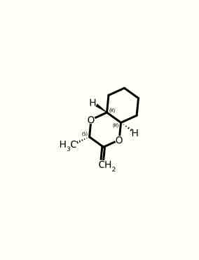 C=C1O[C@@H]2CCCC[C@H]2O[C@H]1C